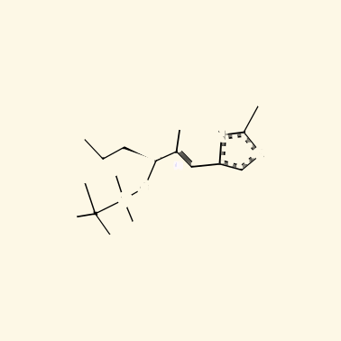 CCC[C@H](O[Si](C)(C)C(C)(C)C)/C(C)=C/c1csc(C)n1